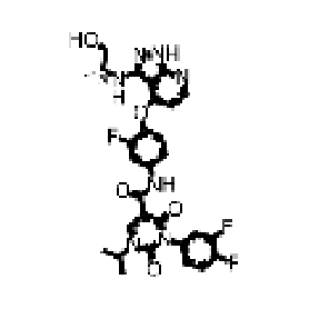 CC(C)n1cc(C(=O)Nc2ccc(Oc3ccnc4[nH]nc(N[C@H](C)CO)c34)c(F)c2)c(=O)n(-c2ccc(F)c(F)c2)c1=O